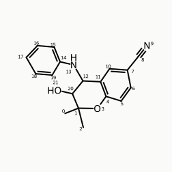 CC1(C)Oc2ccc(C#N)cc2C(Nc2ccccc2)C1O